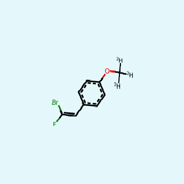 [2H]C([2H])([2H])Oc1ccc(C=C(F)Br)cc1